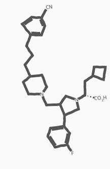 N#Cc1ccc(CCCC2CCN(CC3CN([C@H](CC4CCC4)C(=O)O)CC3c3cccc(F)c3)CC2)cc1